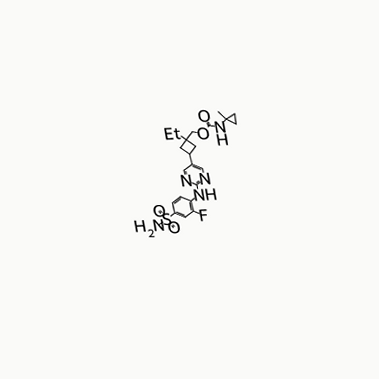 CCC1(COC(=O)NC2(C)CC2)CC(c2cnc(Nc3ccc(S(N)(=O)=O)cc3F)nc2)C1